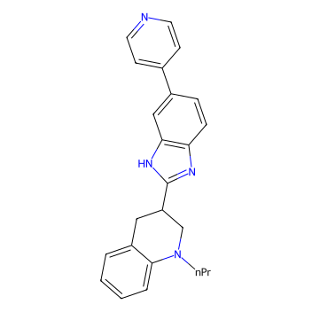 CCCN1CC(c2nc3ccc(-c4ccncc4)cc3[nH]2)Cc2ccccc21